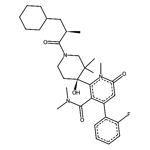 C[C@H](CC1CCCCC1)C(=O)N1CC[C@@](O)(c2c(C(=O)N(C)C)c(-c3ccccc3F)cc(=O)n2C)C(C)(C)C1